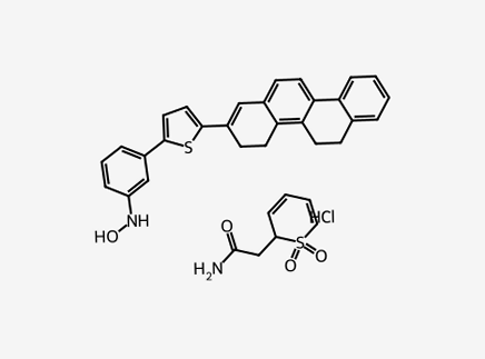 Cl.NC(=O)CC1C=CC=CS1(=O)=O.ONc1cccc(-c2ccc(C3=Cc4ccc5c(c4CC3)CCc3ccccc3-5)s2)c1